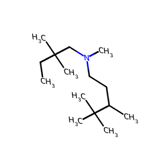 CCC(C)(C)CN(C)CCC(C)C(C)(C)C